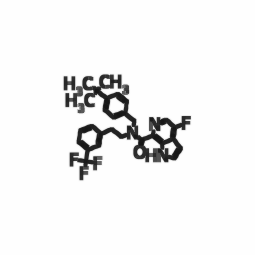 CC(C)(C)c1ccc(CN(CCc2cccc(C(F)(F)F)c2)C(=O)c2ncc(F)c3cc[nH]c23)cc1